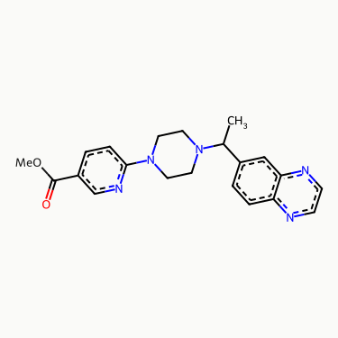 COC(=O)c1ccc(N2CCN(C(C)c3ccc4nccnc4c3)CC2)nc1